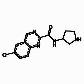 O=C(NC1CCNC1)c1ncc2cc(Cl)ccc2n1